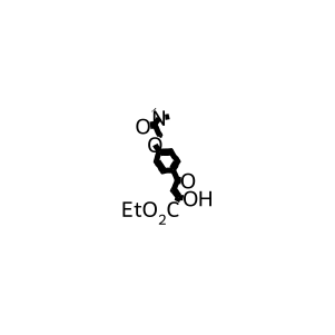 CCOC(=O)C(O)=CC(=O)c1ccc(OCC(=O)N(C)C)cc1